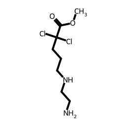 COC(=O)C(Cl)(Cl)CCCNCCN